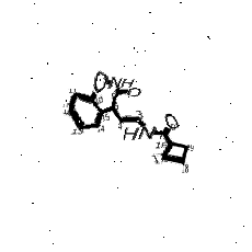 O=C(NCCC1C(=O)NOc2ccccc21)C1CCC1